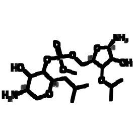 COP(=O)(OC[C@H]1O[C@@H](N)C(O)C1OC(C)C)OC1C(O)[C@H](N)CO[C@@H]1CC(C)C